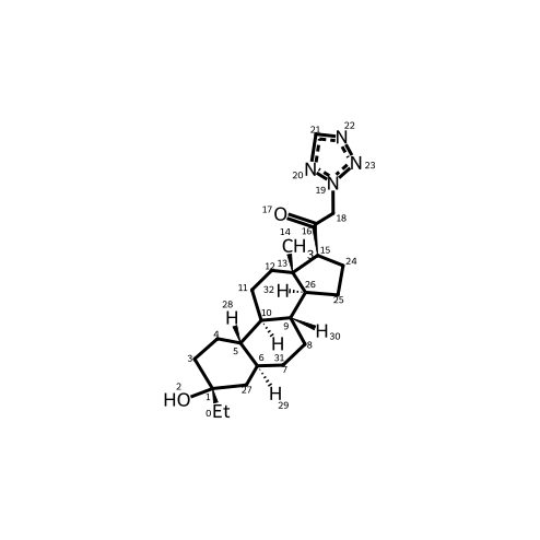 CC[C@@]1(O)CC[C@H]2[C@@H](CC[C@@H]3[C@@H]2CC[C@]2(C)[C@@H](C(=O)Cn4ncnn4)CC[C@@H]32)C1